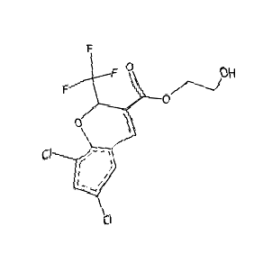 O=C(OCCO)C1=Cc2cc(Cl)cc(Cl)c2OC1C(F)(F)F